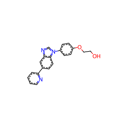 OCCOc1ccc(-n2cnc3cc(-c4ccccn4)ccc32)cc1